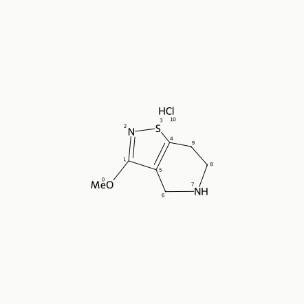 COc1nsc2c1CNCC2.Cl